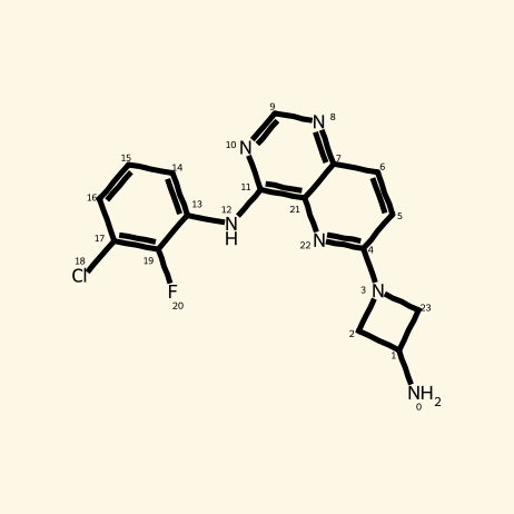 NC1CN(c2ccc3ncnc(Nc4cccc(Cl)c4F)c3n2)C1